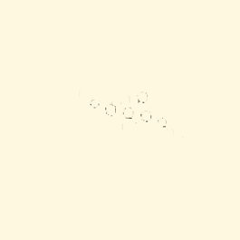 Cc1ccc(-c2ccc3c(c2)C(C)(C)c2cc4c(cc2-3)C(C)(C)c2cc(-c3ccc(C)s3)cc(-c3ccccc3)c2-4)s1